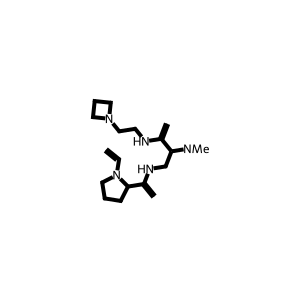 C=CN1CCCC1C(=C)NCC(NC)C(=C)NCCN1CCC1